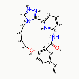 C=Cc1ccc2c(c1)C(=O)Nc1cccc(n1)-c1nncn1CCCCO2